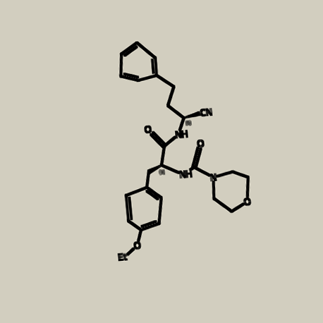 CCOc1ccc(C[C@H](NC(=O)N2CCOCC2)C(=O)N[C@H](C#N)CCc2ccccc2)cc1